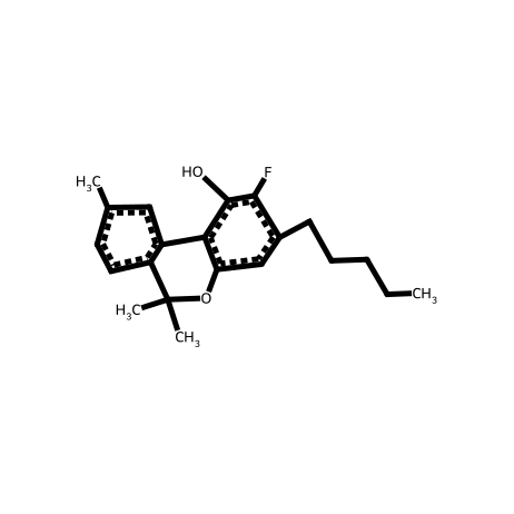 CCCCCc1cc2c(c(O)c1F)-c1cc(C)ccc1C(C)(C)O2